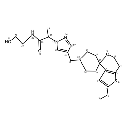 CCc1cc2c(s1)CCOC21CCN(Cc2cn(C(C)C(=O)NCCO)nn2)CC1